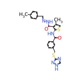 Cc1ccc(C=NNC(=O)c2c(C)csc2NC(=O)c2cccc(CSc3nc[nH]n3)c2)cc1